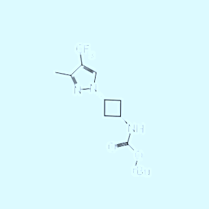 Cc1nn([C@H]2C[C@H](NC(=O)OC(C)(C)C)C2)cc1C(F)(F)F